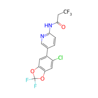 O=C(CC(F)(F)F)Nc1ccc(-c2cc3c(cc2Cl)OC(F)(F)O3)cn1